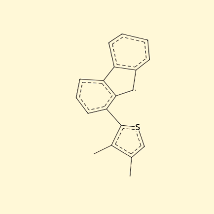 Cc1csc(-c2cccc3c2[CH]c2ccccc2-3)c1C